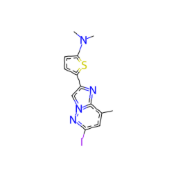 Cc1cc(I)nn2cc(-c3ccc(N(C)C)s3)nc12